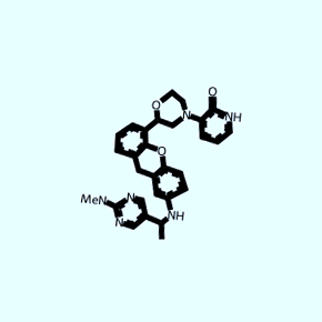 CNc1ncc(C(C)Nc2ccc3c(c2)Cc2cccc(C4CN(c5ccc[nH]c5=O)CCO4)c2O3)cn1